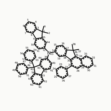 CC1(C)c2ccccc2-c2ccc(N(c3ccc4c(c3)-c3c(-c5ccccc5)cc5ccccc5c3C4(C)C)c3ccc4c(c3)C(c3ccccc3)(c3ccccc3)c3ccccc3-4)cc21